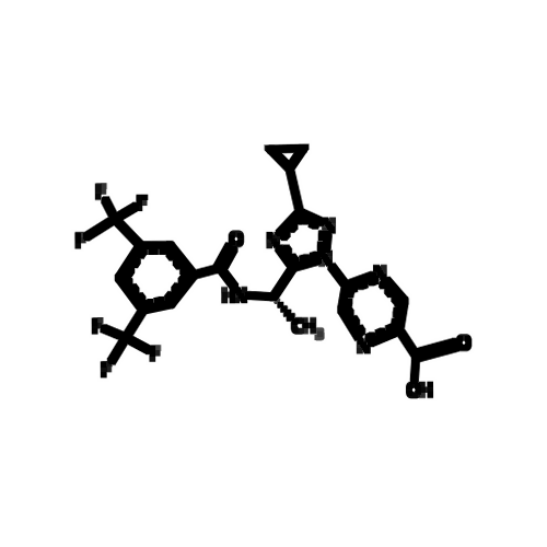 C[C@H](NC(=O)c1cc(C(F)(F)F)cc(C(F)(F)F)c1)c1nc(C2CC2)nn1-c1cnc(C(=O)O)cn1